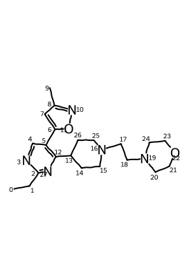 CCc1ncc(-c2cc(C)no2)c(C2CCN(CCN3CCOCC3)CC2)n1